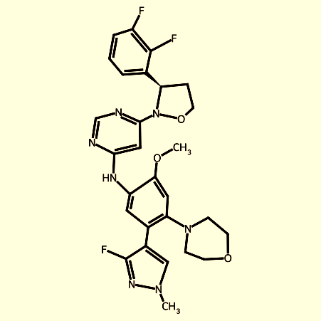 COc1cc(N2CCOCC2)c(-c2cn(C)nc2F)cc1Nc1cc(N2OCC[C@@H]2c2cccc(F)c2F)ncn1